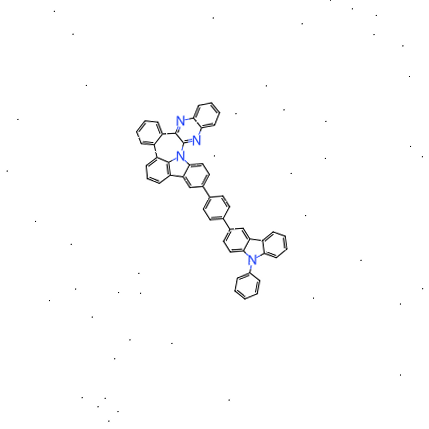 c1ccc(-n2c3ccccc3c3cc(-c4ccc(-c5ccc6c(c5)c5cccc7c5n6-c5nc6ccccc6nc5-c5ccccc5-7)cc4)ccc32)cc1